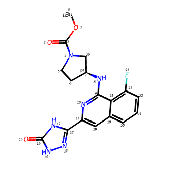 CC(C)(C)OC(=O)N1CC[C@H](Nc2nc(-c3n[nH]c(=O)[nH]3)cc3cccc(F)c23)C1